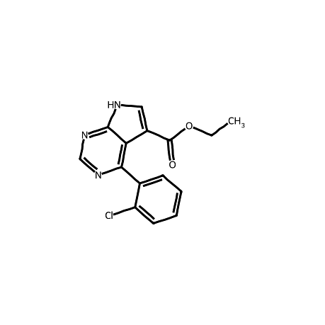 CCOC(=O)c1c[nH]c2ncnc(-c3ccccc3Cl)c12